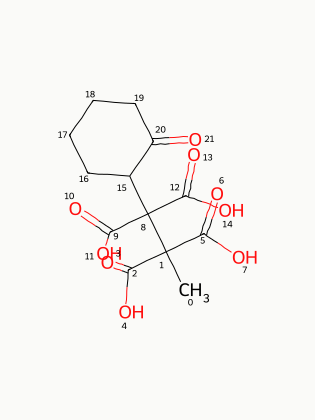 CC(C(=O)O)(C(=O)O)C(C(=O)O)(C(=O)O)C1CCCCC1=O